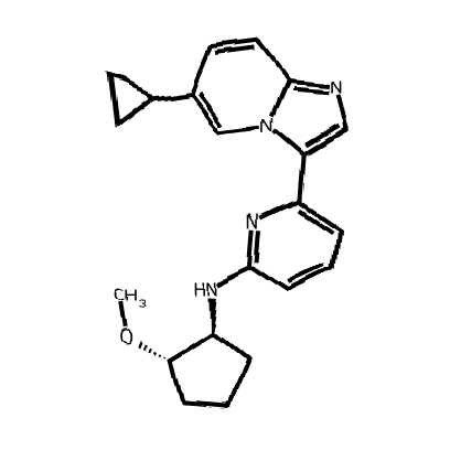 CO[C@H]1CCC[C@@H]1Nc1cccc(-c2cnc3ccc(C4CC4)cn23)n1